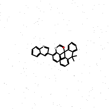 CC1(C)c2ccccc2C2(c3ccccc3Oc3c(-c4cnc5ccccc5c4)cccc32)c2ccccc21